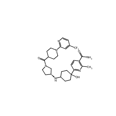 Cc1nc(C2(O)CCC(N[C@H]3CCN(C(=O)C4CCN(c5cc(C(F)(F)F)ccn5)CC4)C3)CC2)ccc1C(N)=O